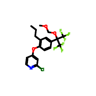 CCCc1cc(C(OCOC)(C(F)(F)F)C(F)(F)F)ccc1Oc1ccnc(Cl)c1